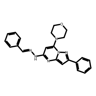 C(=N\Nc1cc(N2CCOCC2)n2nc(-c3ccccc3)cc2n1)/c1ccccc1